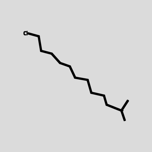 C[C](C)CCCCCCCCCCCl